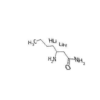 CCCCC(N)CC(N)=O.[LiH].[LiH]